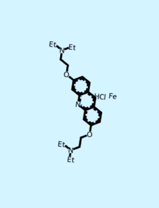 CCN(CC)CCOc1ccc2cc3ccc(OCCN(CC)CC)cc3nc2c1.Cl.[Fe]